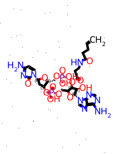 C=CCCC(=O)NCCC(=O)O[C@@H]1C(COP(=O)(O)O[C@H]2C[C@H](n3ccc(N)nc3=O)O[C@@H]2COP(=O)(O)O)O[C@@H](n2cnc3c(N)ncnc32)[C@@H]1O